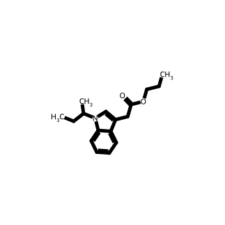 CCCOC(=O)Cc1cn(C(C)CC)c2ccccc12